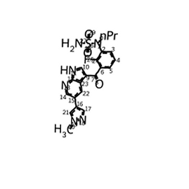 CCCN(c1cccc(C(=O)c2c[nH]c3ncc(-c4cnn(C)c4)cc23)c1F)S(N)(=O)=O